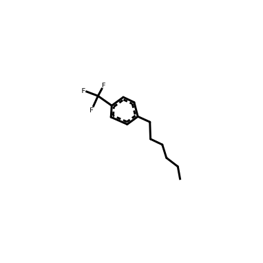 CCCCCCc1ccc(C(F)(F)F)cc1